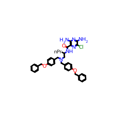 CCCC(CN(Cc1ccc(OCc2ccccc2)cc1)Cc1ccc(OCc2ccccc2)cc1)NC(=O)c1nc(Cl)c(N)nc1N